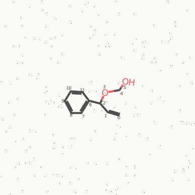 C=CC(OCO)c1ccccc1